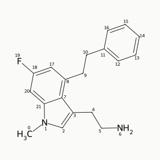 Cn1cc(CCN)c2c(CCc3ccccc3)cc(F)cc21